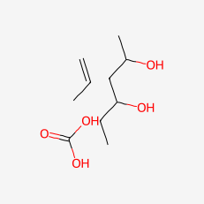 C=CC.CCC(O)CC(C)O.O=C(O)O